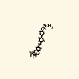 COCOC1CCC(C2CCC(/C=C/c3ccc(OC(F)(F)C(F)C(F)(F)F)cc3)CC2)CC1